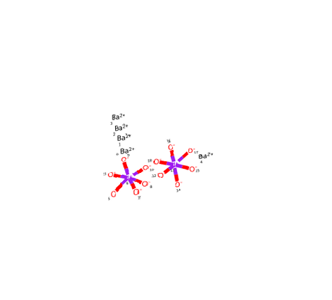 [Ba+2].[Ba+2].[Ba+2].[Ba+2].[Ba+2].[O-][I+]([O-])([O-])([O-])([O-])[O-].[O-][I+]([O-])([O-])([O-])([O-])[O-]